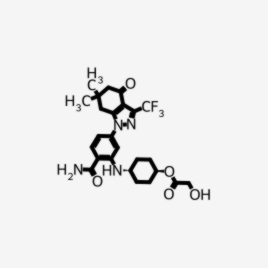 CC1(C)CC(=O)c2c(C(F)(F)F)nn(-c3ccc(C(N)=O)c(N[C@H]4CC[C@H](OC(=O)CO)CC4)c3)c2C1